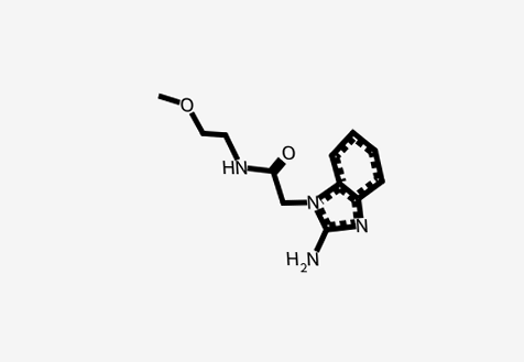 COCCNC(=O)Cn1c(N)nc2ccccc21